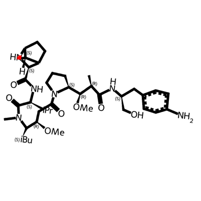 CC[C@H](C)C([C@@H](CC(=O)N1CCC[C@H]1[C@H](OC)[C@@H](C)C(=O)N[C@H](CO)Cc1ccc(N)cc1)OC)N(C)C(=O)[C@@H](NC(=O)[C@H]1NC2CCC1[C@@H]2C)C(C)C